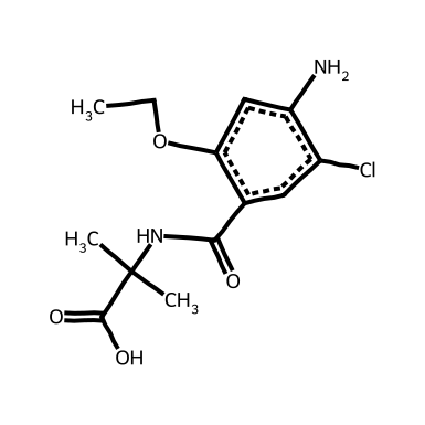 CCOc1cc(N)c(Cl)cc1C(=O)NC(C)(C)C(=O)O